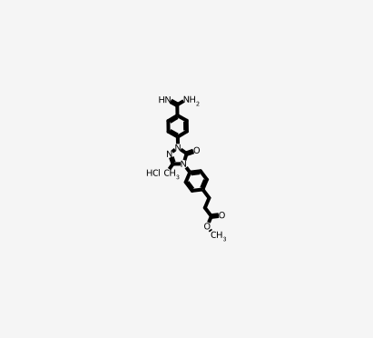 COC(=O)CCc1ccc(-n2c(C)nn(-c3ccc(C(=N)N)cc3)c2=O)cc1.Cl